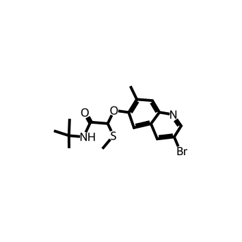 CSC(Oc1cc2cc(Br)cnc2cc1C)C(=O)NC(C)(C)C